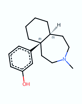 CN1CC[C@@H]2CCCC[C@@]2(c2cccc(O)c2)CC1